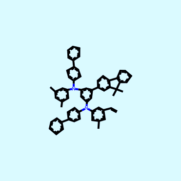 C=Cc1cc(C)cc(N(c2ccc(-c3ccccc3)cc2)c2cc(-c3ccc4c(c3)C(C)(C)c3ccccc3-4)cc(N(c3ccc(-c4ccccc4)cc3)c3cc(C)cc(C)c3)c2)c1